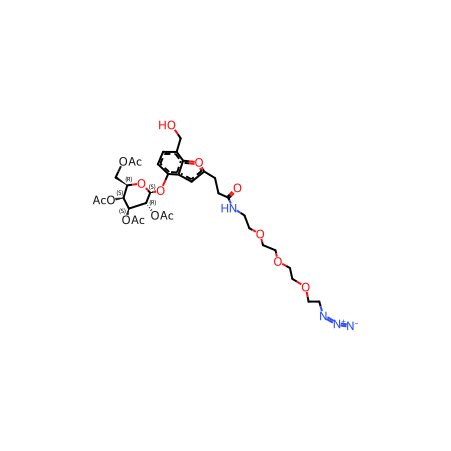 CC(=O)OC[C@H]1O[C@@H](Oc2ccc(CO)c3oc(CCC(=O)NCCOCCOCCOCCN=[N+]=[N-])cc23)[C@H](OC(C)=O)[C@@H](OC(C)=O)[C@H]1OC(C)=O